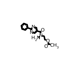 CC(=O)OCCN(N)C(=O)c1cnc(-c2ccccc2)nc1